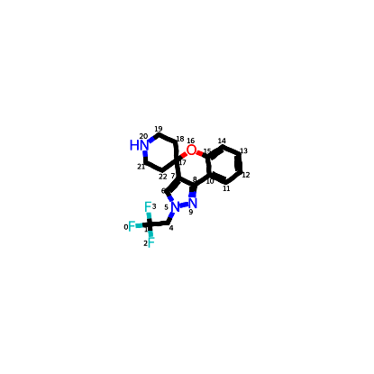 FC(F)(F)Cn1cc2c(n1)-c1ccccc1OC21CCNCC1